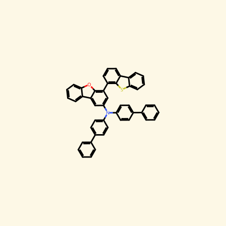 c1ccc(-c2ccc(N(c3ccc(-c4ccccc4)cc3)c3cc(-c4cccc5c4sc4ccccc45)c4oc5ccccc5c4c3)cc2)cc1